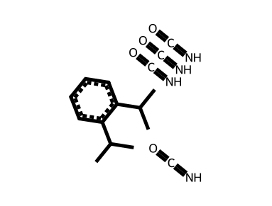 CC(C)c1ccccc1C(C)C.N=C=O.N=C=O.N=C=O.N=C=O